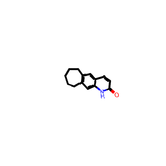 O=c1ccc2cc3c(cc2[nH]1)CCCCC3